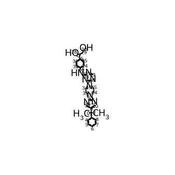 CC(C)(c1ccccc1)c1cnc(N2CCN(c3ncnc(Nc4ccc([C@H](O)CO)cc4)n3)CC2)nc1